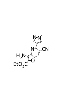 CCOC(=O)c1oc2cc(C#N)c(-c3cnn(C)c3)nc2c1N